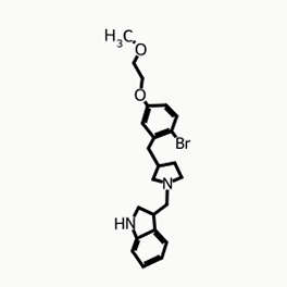 COCCOc1ccc(Br)c(CC2CCN(CC3CNc4ccccc43)C2)c1